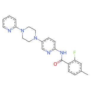 Cc1ccc(C(=O)Nc2ccc(N3CCN(c4ccccn4)CC3)cn2)c(F)c1